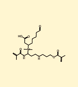 C=C(C)C(=O)NC(CCNCCCOC(=O)C(=C)C)[N+](C)(C)C(CCCCC=O)CC(=O)O